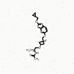 CC(=O)N[C@@H](C)CO[C@H]1C[C@](F)(COc2ccc3nc(OCC4CC4)sc3n2)C1